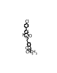 CC(=O)N(C)Cc1ccc(CCn2cnc3cc(-c4ccc(Cl)cc4)sc3c2=O)cc1